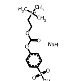 C[N+](C)(C)CCOC(=O)Oc1ccc(S(=O)(=O)O)cc1.[NaH]